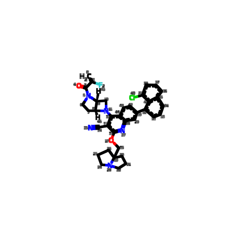 C=C(F)C(=O)N1CC[C@@H]2[C@H]1CN2c1c(C#N)c(OCC23CCCN2CCC3)nc2cc(-c3cccc4cccc(Cl)c34)ccc12